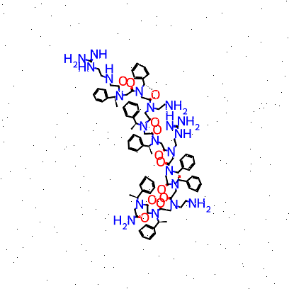 C[C@@H](c1ccccc1)N(CC(N)=O)C(=O)CN(C(=O)CN(CCN)C(=O)CN(C(=O)CN(C(=O)CN(CCNC(=N)N)C(=O)CN(C(=O)CN(C(=O)CN(CCN)C(=O)CN(C(=O)CN(C(=O)CNCCNC(=N)N)[C@@H](C)c1ccccc1)[C@@H](C)c1ccccc1)[C@@H](C)c1ccccc1)[C@@H](C)c1ccccc1)[C@@H](C)c1ccccc1)[C@@H](C)c1ccccc1)[C@@H](C)c1ccccc1